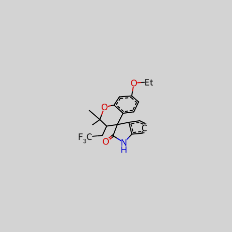 CCOc1ccc2c(c1)OC(C)(C)C(CC(F)(F)F)C21C(=O)Nc2ccccc21